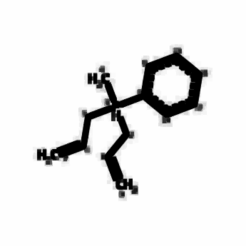 C=CC[PH](C)(CC=C)c1ccccc1